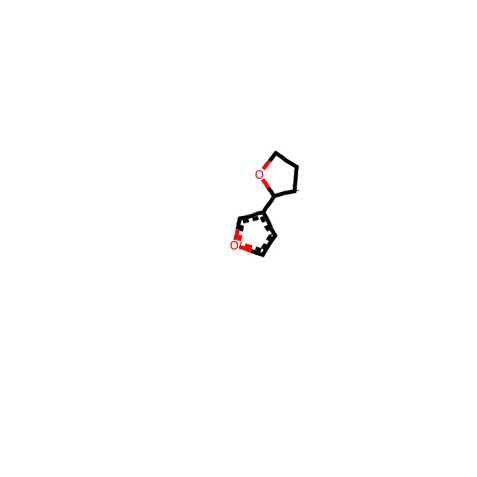 [CH]1CCOC1c1ccoc1